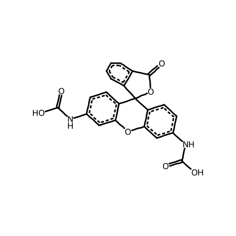 O=C(O)Nc1ccc2c(c1)Oc1cc(NC(=O)O)ccc1C21OC(=O)c2ccccc21